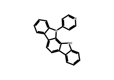 c1ccc2c(c1)[nH]c1c2ccc2c3ccccc3n(-c3ccncc3)c21